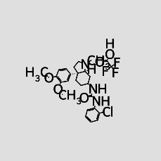 COc1ccc([C@@]23CC[C@@H](NC(=O)Nc4ccccc4Cl)C[C@@H]2N(C)CC3)cc1OC.O=C(O)C(F)(F)F